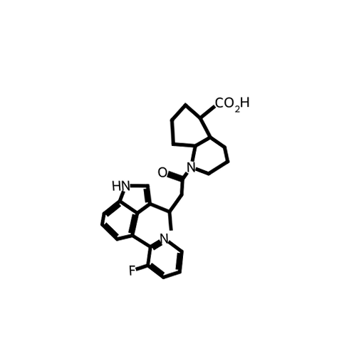 CC(CC(=O)N1CCCC2C(C(=O)O)CCCC21)c1c[nH]c2cccc(-c3ncccc3F)c12